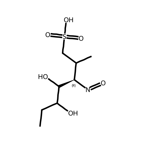 CCC(O)C(O)[C@H](N=O)C(C)CS(=O)(=O)O